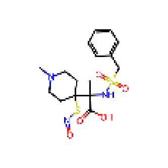 CN1CCC(SN=O)(C(C)(NS(=O)(=O)Cc2ccccc2)C(=O)O)CC1